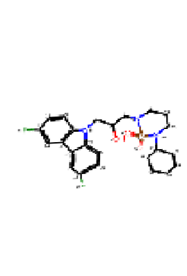 O=S1(=O)N(CC(O)Cn2c3ccc(F)cc3c3cc(F)ccc32)CCCN1C1CCCCC1